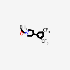 BC1OC1N1CCC(c2cc(C(F)(F)F)cc(C(F)(F)F)c2)CC1